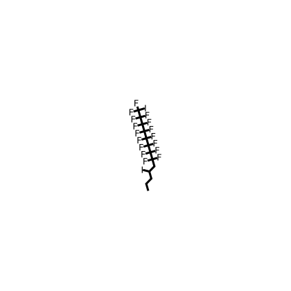 CCCC(I)CC(F)(F)C(F)(F)C(F)(F)C(F)(F)C(F)(F)C(F)(F)C(F)(F)C(F)(F)I